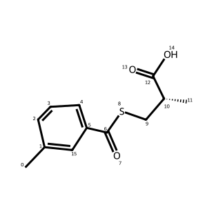 Cc1cccc(C(=O)SC[C@@H](C)C(=O)O)c1